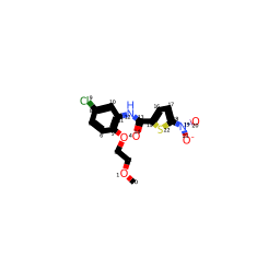 COCCOc1ccc(Cl)cc1NC(=O)c1ccc([N+](=O)[O-])s1